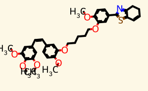 COc1ccc(/C=C\c2cc(OC)c(OC)c(OC)c2)cc1OCCCCCOc1cc(-c2nc3c(s2)C=CCC3)ccc1OC